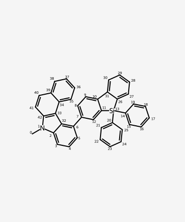 Cn1c2cccc(-c3ccc4c(c3)[Si](c3ccccc3)(c3ccccc3)c3ccccc3-4)c2c2c3ccccc3ccc21